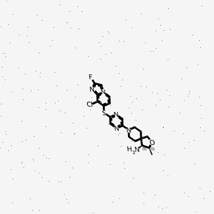 C[C@@H]1OCC2(CCN(c3cnc(Sc4ccn5cc(F)nc5c4Cl)cn3)CC2)[C@@H]1N